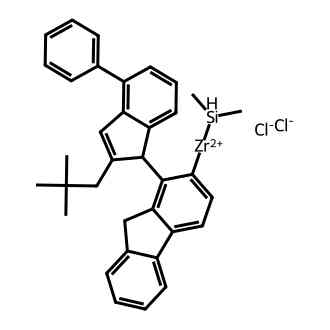 C[SiH](C)[Zr+2][c]1ccc2c(c1C1C(CC(C)(C)C)=Cc3c(-c4ccccc4)cccc31)Cc1ccccc1-2.[Cl-].[Cl-]